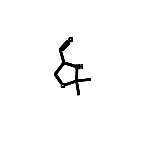 CC1(C)NC(C=O)CO1